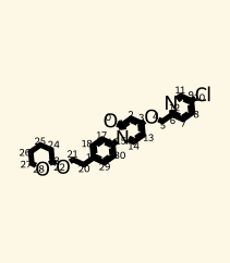 O=c1cc(OCc2ccc(Cl)cn2)ccn1-c1ccc(CCOC2CCCCO2)cc1